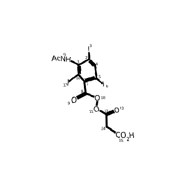 CC(=O)Nc1c(I)cc(I)c(C(=O)OOC(=O)CC(=O)O)c1I